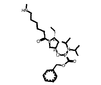 CC[C@@H]1C[C@@H](OP(C(=O)OCc2ccccc2)N(C(C)C)C(C)C)CN1C(=O)CCCCCNC